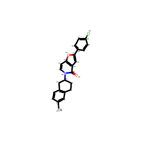 N#Cc1ccc2c(c1)CCC(n1ccc3oc(-c4ccc(Cl)cc4)cc3c1=O)C2